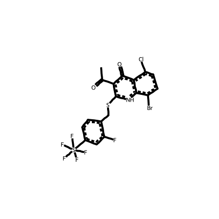 CC(=O)c1c(SCc2ccc(S(F)(F)(F)(F)F)cc2F)[nH]c2c(Br)ccc(Cl)c2c1=O